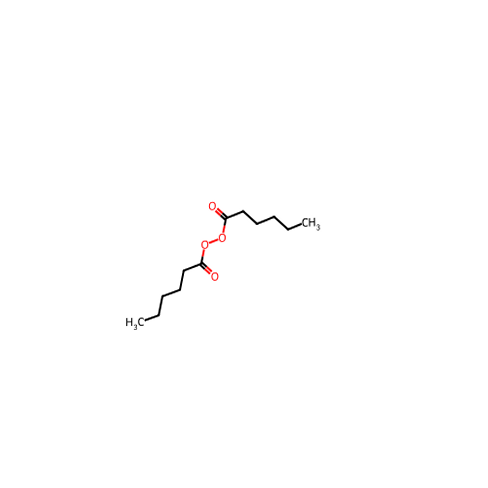 CCCCCC(=O)OOC(=O)CCCCC